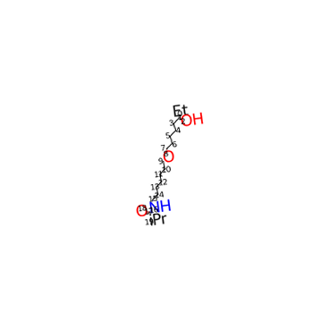 CCC(O)CCCCCOCCCCCCCNC(=O)C(C)C